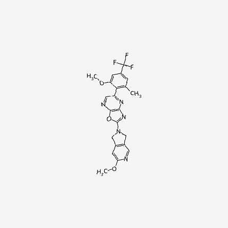 COc1cc2c(cn1)CN(c1nc3nc(-c4c(C)cc(C(F)(F)F)cc4OC)cnc3o1)C2